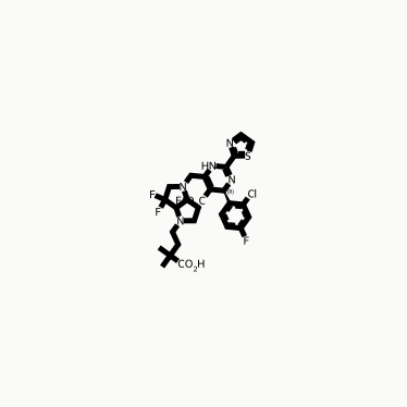 CCOC(=O)C1=C(CN2CC(F)(F)C3C2CCN3CCC(C)(C)C(=O)O)NC(c2nccs2)=N[C@H]1c1ccc(F)cc1Cl